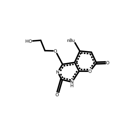 CCCCc1cc(=O)oc2[nH]c(=O)nc(OCCO)c12